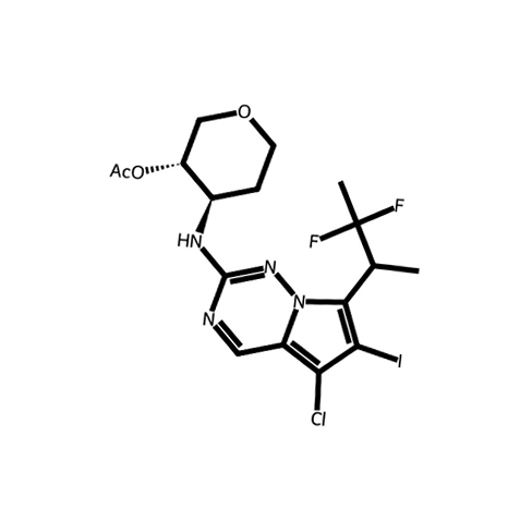 CC(=O)O[C@@H]1COCC[C@H]1Nc1ncc2c(Cl)c(I)c(C(C)C(C)(F)F)n2n1